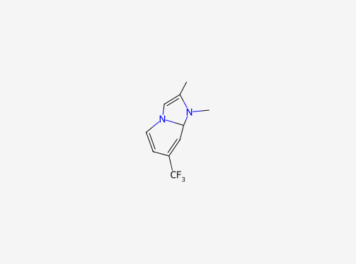 CC1=CN2C=CC(C(F)(F)F)=CC2N1C